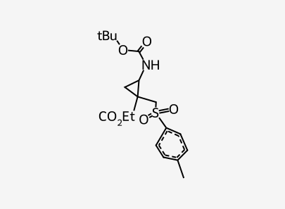 CCOC(=O)C1(CS(=O)(=O)c2ccc(C)cc2)CC1NC(=O)OC(C)(C)C